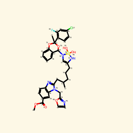 COC(=O)c1ccc2nc(CC(C)CCCC3=CN(C4OC(C)(c5ccc(Cl)cc5F)Oc5ccccc54)S(O)(O)N3)n(Cc3ncco3)c2c1